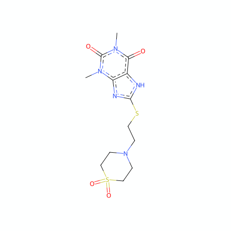 Cn1c(=O)c2[nH]c(SCCN3CCS(=O)(=O)CC3)nc2n(C)c1=O